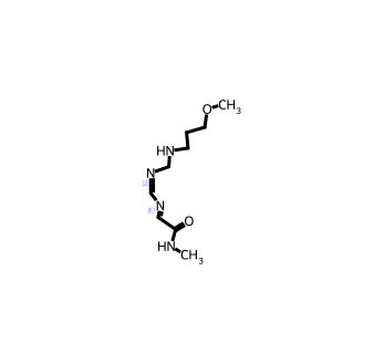 CNC(=O)/C=N/C=N\CNCCCOC